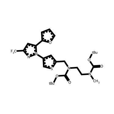 CN(CCN(Cc1cc(-n2nc(C(F)(F)F)cc2-c2ccco2)cs1)C(=O)OC(C)(C)C)C(=O)OC(C)(C)C